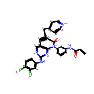 C=CC(=O)Nc1cccc(-n2c(=O)c(Cc3ccncc3)cc3cnc(Nc4ccc(F)c(Cl)c4)nc32)c1